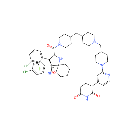 O=C1CCC(c2ccnc(N3CCC(CN4CCC(CC5CCN(C(=O)C6NC7(CCCCC7)[C@@]7(C(=O)Nc8cc(Cl)ccc87)C6c6cccc(Cl)c6F)CC5)CC4)CC3)c2)C(=O)N1